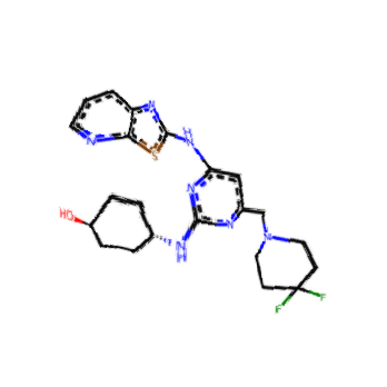 O[C@H]1CC[C@H](Nc2nc(CN3CCC(F)(F)CC3)cc(Nc3nc4cccnc4s3)n2)CC1